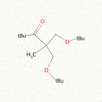 CC(C)(C)OCC(C)(COC(C)(C)C)C(=O)C(C)(C)C